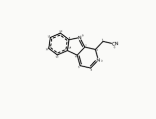 N#CCC1N=CC=C2C1=Nc1ccccc12